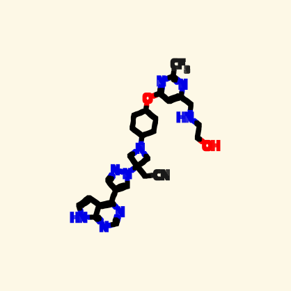 N#CCC1(n2cc(-c3ncnc4[nH]ccc34)cn2)CN(C2CCC(Oc3cc(CNCCO)nc(C(F)(F)F)n3)CC2)C1